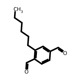 CCCCCCc1cc(C=O)ccc1C=O